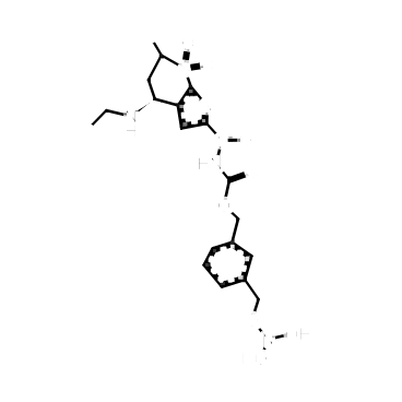 CCN[C@H]1CC(C)S(=O)(=O)c2sc([S+]([O-])NC(=O)OCc3cccc(CON(O)O)c3)cc21